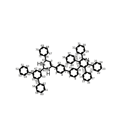 C1=C(c2ccc(-c3cccc(-c4c(-c5ccccc5)c(-c5ccccc5)nc(-c5ccccc5)c4-c4ccccc4)c3)cc2)NC(c2cc(-c3ccccc3)cc(-c3ccccc3)c2)NC1c1ccccc1